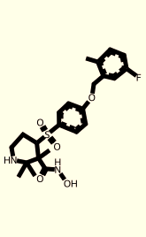 Cc1ccc(F)cc1COc1ccc(S(=O)(=O)C2CCNC(C)(C)C2(C)C(=O)NO)cc1